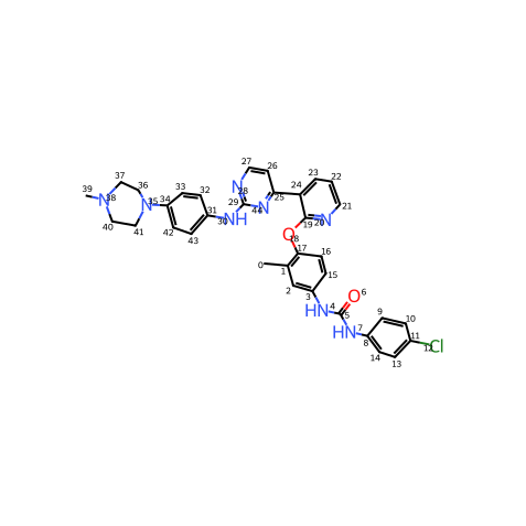 Cc1cc(NC(=O)Nc2ccc(Cl)cc2)ccc1Oc1ncccc1-c1ccnc(Nc2ccc(N3CCN(C)CC3)cc2)n1